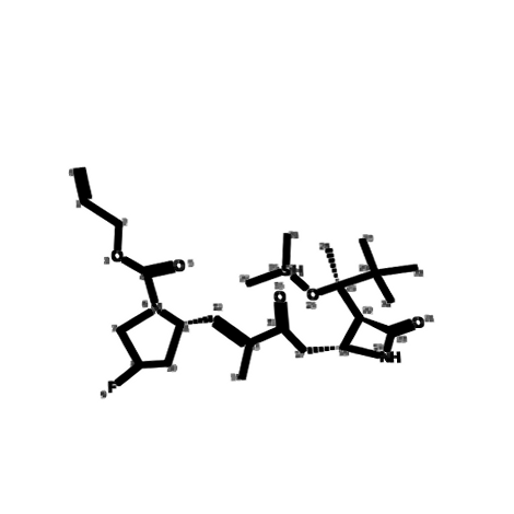 C=CCOC(=O)N1CC(F)C[C@H]1/C=C(\C)C(=O)C[C@H]1NC(=O)[C@@H]1[C@@](C)(O[SiH](C)C)C(C)(C)C